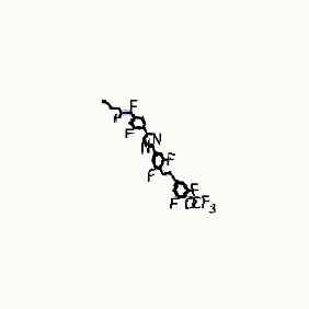 C=CCC/C(F)=C(\F)c1ccc(-c2cnc(-c3cc(F)c(CCc4cc(F)c(OC(F)(F)F)c(F)c4)c(F)c3)nc2)c(F)c1